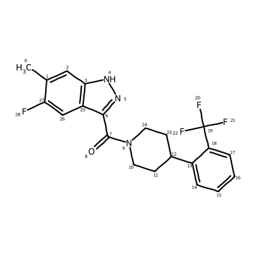 Cc1cc2[nH]nc(C(=O)N3CCC(c4ccccc4C(F)(F)F)CC3)c2cc1F